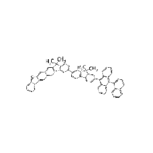 CC1(C)c2cc(-c3ccc4c(c3)-c3cc5cc6c(cc5cc3C4(C)C)sc3ccccc36)ccc2-c2ccc(-c3c4ccccc4c(-c4cccc5ccccc45)c4ccccc34)cc21